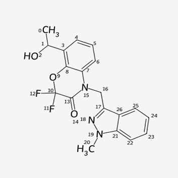 CC(O)c1cccc2c1OC(F)(F)C(=O)N2Cc1nn(C)c2ccccc12